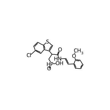 COc1ccccc1/C=C/NC(=O)C(C[PH](=O)O)c1csc2ccc(Cl)cc12